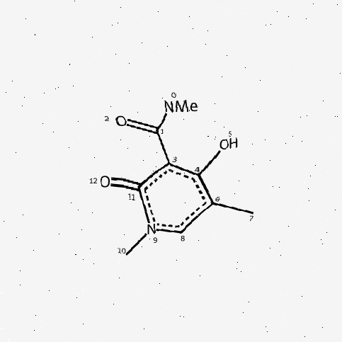 CNC(=O)c1c(O)c(C)cn(C)c1=O